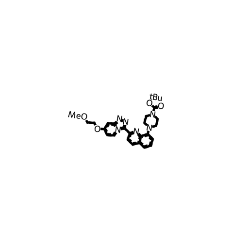 COCCOc1ccn2c(-c3ccc4cccc(N5CCN(C(=O)OC(C)(C)C)CC5)c4n3)nnc2c1